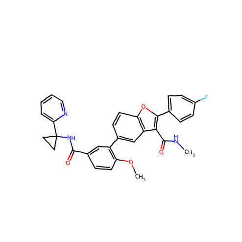 CNC(=O)c1c(-c2ccc(F)cc2)oc2ccc(-c3cc(C(=O)NC4(c5ccccn5)CC4)ccc3OC)cc12